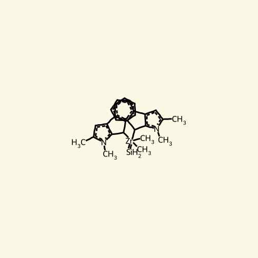 Cc1cc2c(n1C)[CH]([Zr]([CH3])([CH3])(=[SiH2])[CH]1c3ccccc3-c3cc(C)n(C)c31)c1ccccc1-2